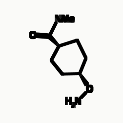 CNC(=O)[C@H]1CC[C@@H](ON)CC1